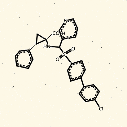 O=C(O)[C@@]1(NC(c2cccnc2)S(=O)(=O)c2ccc(-c3ccc(Cl)cc3)cc2)C[C@H]1c1ccccc1